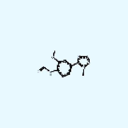 COc1cc(-c2nnnn2C)ccc1NC=O